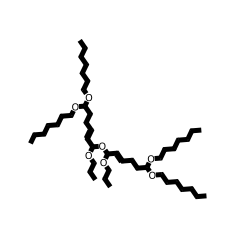 CCCCCCCOC(CCC=CC(OCCC)OC(C=CCCC(OCCCCCCC)OCCCCCCC)OCCC)OCCCCCCC